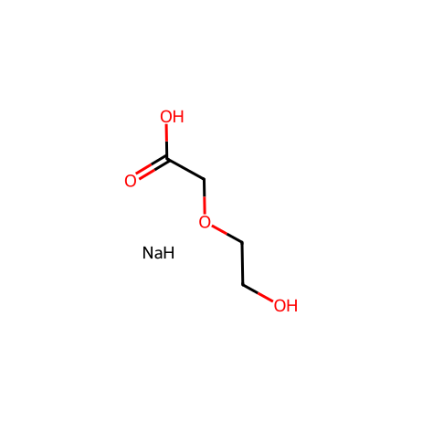 O=C(O)COCCO.[NaH]